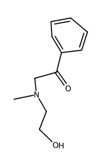 CN(CCO)CC(=O)c1ccccc1